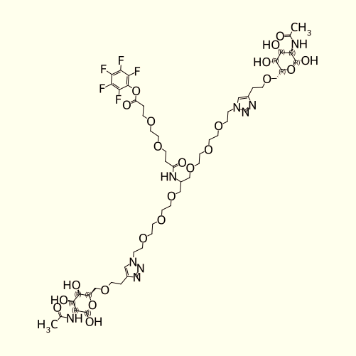 CC(=O)N[C@@H]1[C@@H](O)[C@@H](O)[C@@H](COCCc2cn(CCOCCOCCOCC(COCCOCCOCCn3cc(CCOC[C@H]4O[C@@H](O)[C@H](NC(C)=O)[C@@H](O)[C@H]4O)nn3)NC(=O)CCOCCOCCC(=O)Oc3c(F)c(F)c(F)c(F)c3F)nn2)O[C@H]1O